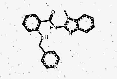 Cn1c(NC(=O)c2ccccc2NCc2ccncc2)nc2ccccc21